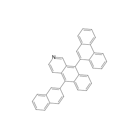 c1ccc2cc(-c3c4ccccc4c(-c4cc5ccccc5c5ccccc45)c4cnccc34)ccc2c1